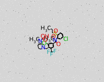 CCCS(=O)(=O)c1ccc(Cl)cc1N(C)C(=O)c1cc(Cl)c(CN2CCC[C@H](N(C)C(=O)O)C2)c(C(F)(F)F)c1